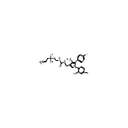 C=CCC(CC)(CC)CCNC(=O)NCc1cn(-c2ccc(Cl)cc2Cl)c(-c2ccc(Cl)cc2)c1C